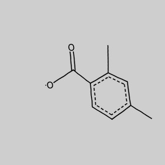 Cc1ccc(C([O])=O)c(C)c1